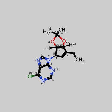 CCC1=C[C@@H](n2cnc3c(Cl)ncnc32)[C@@H]2OC(C)(C)O[C@H]12